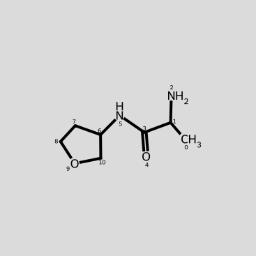 CC(N)C(=O)NC1CCOC1